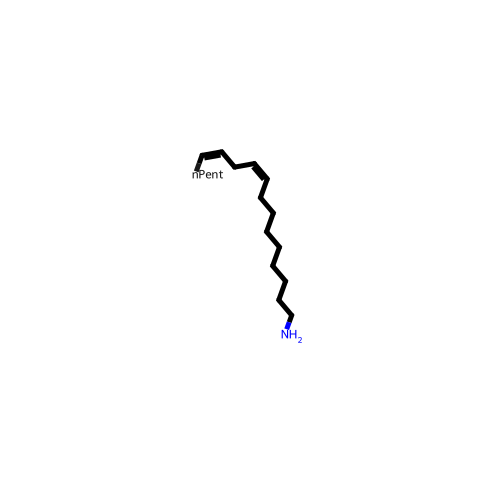 CCCCC/C=C\C/C=C\CCCCCCCCN